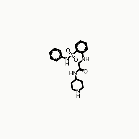 O=C(CNc1ccccc1S(=O)(=O)Nc1ccccc1)NC1CCNCC1